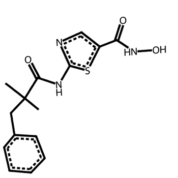 CC(C)(Cc1ccccc1)C(=O)Nc1ncc(C(=O)NO)s1